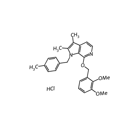 COc1cccc(COc2nccc3c(C)c(C)n(Cc4ccc(C)cc4)c23)c1OC.Cl